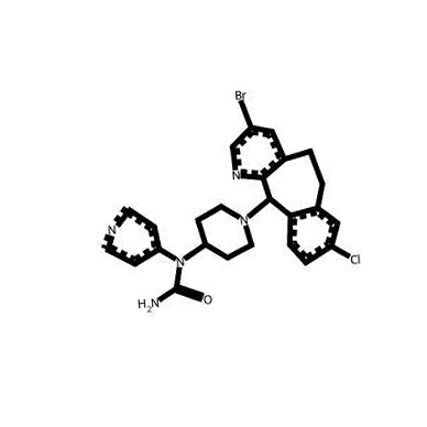 NC(=O)N(c1ccncc1)C1CCN(C2c3ccc(Cl)cc3CCc3cc(Br)cnc32)CC1